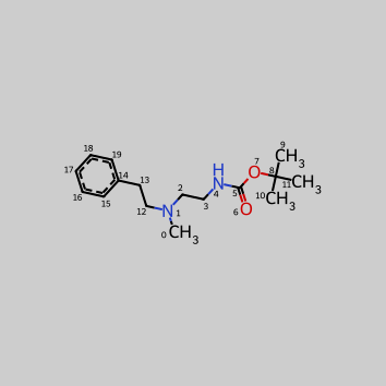 CN(CCNC(=O)OC(C)(C)C)CCc1ccccc1